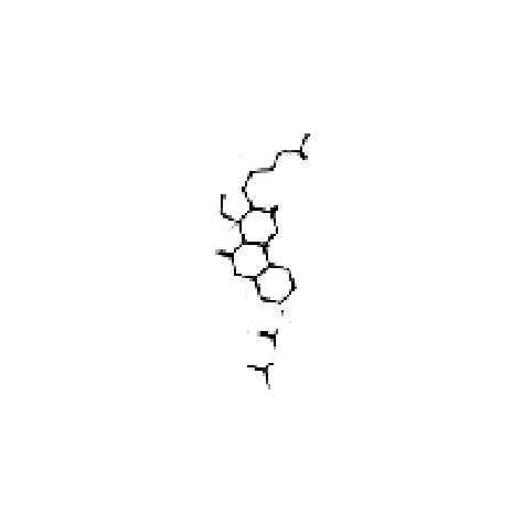 CC(=O)CC[C@@H](C)[C@H]1CC[C@H]2[C@@H]3C(=O)C[C@@H]4C[C@H](OC(=O)NC(C)C)CC[C@]4(C)[C@H]3CC(=O)[C@]12C